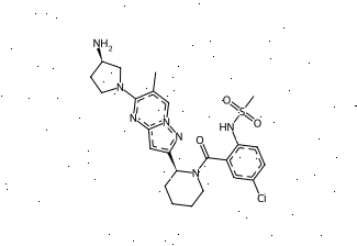 Cc1cn2nc([C@@H]3CCCCN3C(=O)c3cc(Cl)ccc3NS(C)(=O)=O)cc2nc1N1CC[C@@H](N)C1